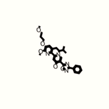 COCCCOc1cc2c(nc1OC)-c1cc(=O)c(-c3nc(-c4ccccc4)no3)cn1C(C(C)C)C2